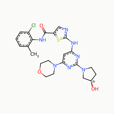 Cc1cccc(Cl)c1NC(=O)c1cnc(Nc2cc(N3CCOCC3)nc(N3CC[C@@H](O)C3)n2)s1